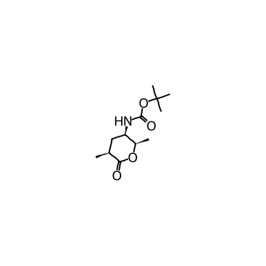 C[C@H]1C[C@@H](NC(=O)OC(C)(C)C)[C@@H](C)OC1=O